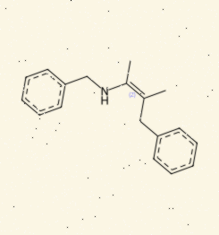 C/C(Cc1ccccc1)=C(\C)NCc1ccccc1